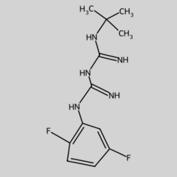 CC(C)(C)NC(=N)NC(=N)Nc1cc(F)ccc1F